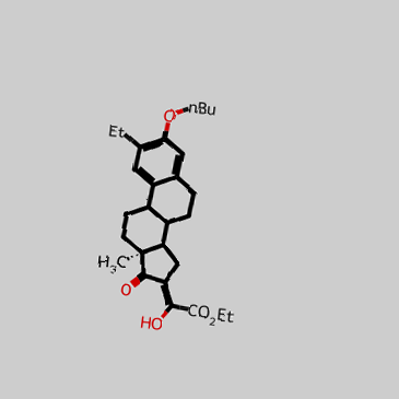 CCCCOc1cc2c(cc1CC)C1CC[C@]3(C)C(=O)/C(=C(\O)C(=O)OCC)CC3C1CC2